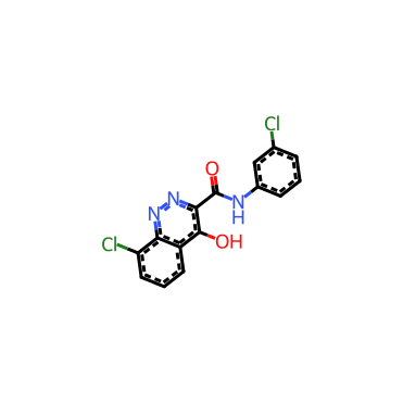 O=C(Nc1cccc(Cl)c1)c1nnc2c(Cl)cccc2c1O